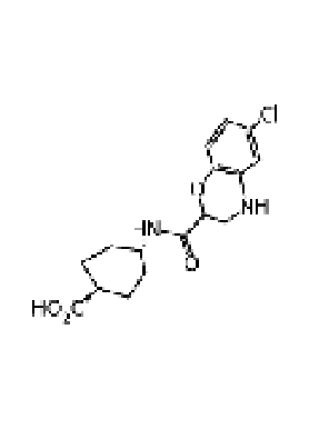 O=C(N[C@H]1CC[C@H](C(=O)O)CC1)C1CNc2cc(Cl)ccc2O1